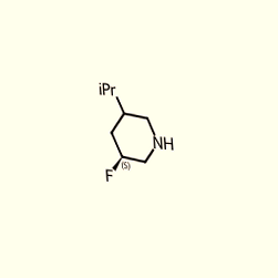 CC(C)C1CNC[C@@H](F)C1